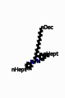 CCCCCCCCCCCCCCCCCCCCCCC/C=C/C(/C=N/c1ccc(CCCCCCC)cc1)=N\c1ccc(CCCCCCC)cc1.[Ni]